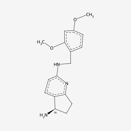 COc1ccc(CNc2ccc3c(n2)CC[C@H]3N)c(OC)c1